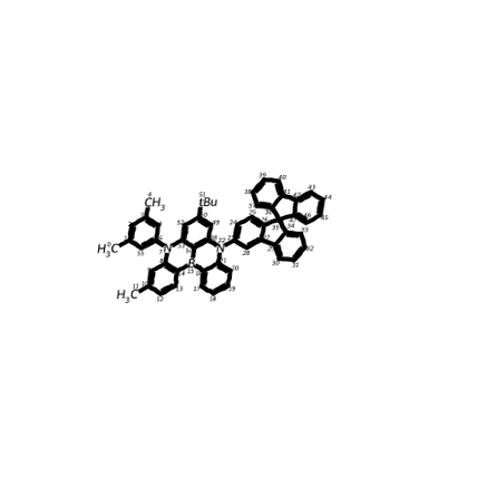 Cc1cc(C)cc(N2c3cc(C)ccc3B3c4ccccc4N(c4ccc5c(c4)-c4ccccc4C54c5ccccc5-c5ccccc54)c4cc(C(C)(C)C)cc2c43)c1